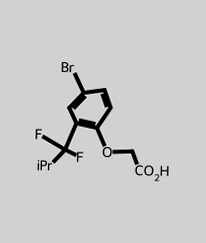 CC(C)C(F)(F)c1cc(Br)ccc1OCC(=O)O